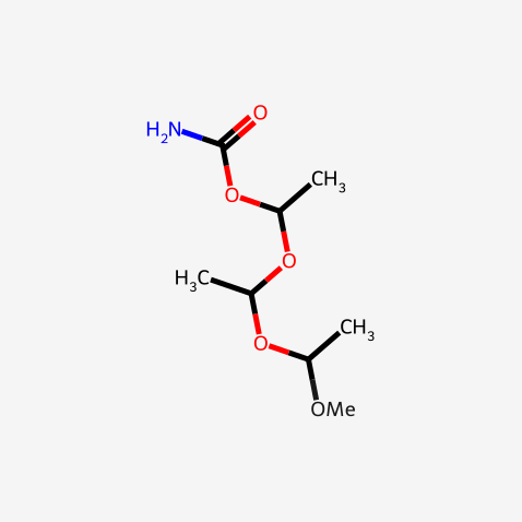 COC(C)OC(C)OC(C)OC(N)=O